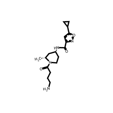 C[C@@H]1C[C@H](NC(=O)c2cc(C3CC3)on2)CCN1C(=O)CCCN